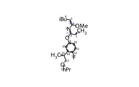 C=C/C(=N\C(=C/C(C)CC)OC)Oc1ccc(F)c(C(C)COCCC)c1